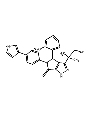 COc1ccccc1C1c2c(C(C)(C)CO)n[nH]c2C(=O)N1c1ccc(-c2cc[nH]c2)cc1